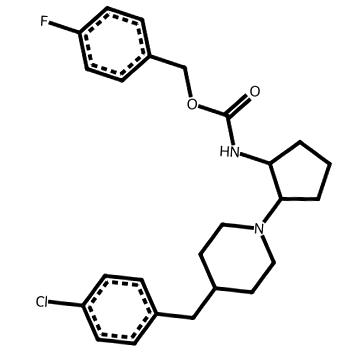 O=C(NC1CCCC1N1CCC(Cc2ccc(Cl)cc2)CC1)OCc1ccc(F)cc1